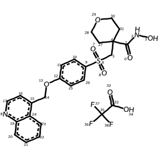 O=C(NO)C1(CS(=O)(=O)c2ccc(OCc3ccnc4ccccc34)cc2)CCOCC1.O=C(O)C(F)(F)F